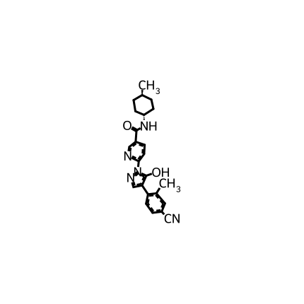 Cc1cc(C#N)ccc1-c1cnn(-c2ccc(C(=O)N[C@H]3CC[C@H](C)CC3)cn2)c1O